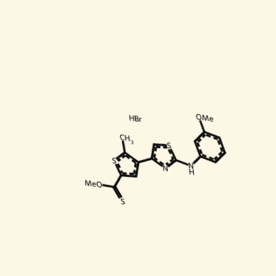 Br.COC(=S)c1cc(-c2csc(Nc3cccc(OC)c3)n2)c(C)s1